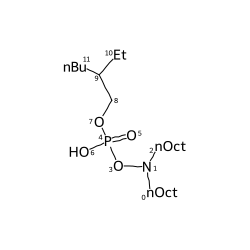 CCCCCCCCN(CCCCCCCC)OP(=O)(O)OCC(CC)CCCC